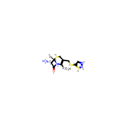 N[C@H]1C(=O)N2C(C(=O)O)=C(CSc3cnns3)CS[C@@H]12